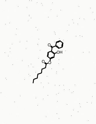 CCCCCCCC(=O)Oc1ccc(C(=O)c2ccccc2)c(O)c1